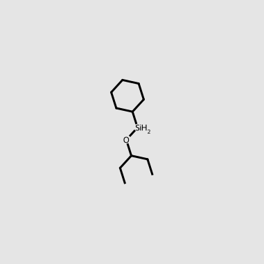 CCC(CC)O[SiH2]C1CCCCC1